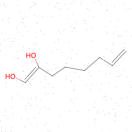 C=CCCCCC(O)=CO